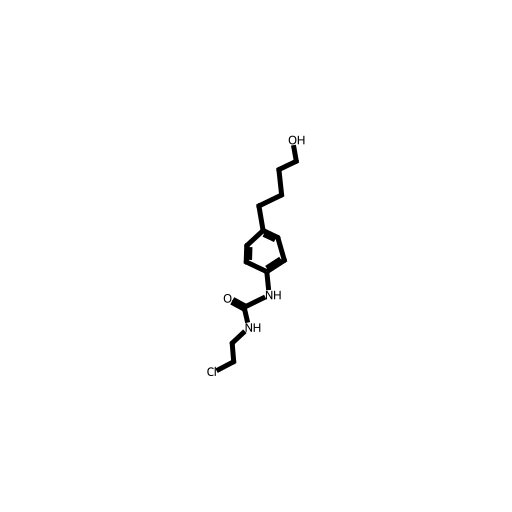 O=C(NCCCl)Nc1ccc(CCCCO)cc1